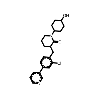 O=C1C(Cc2ccc(-c3cccnc3)cc2Cl)CCCN1C1CCC(O)CC1